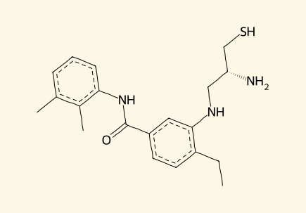 CCc1ccc(C(=O)Nc2cccc(C)c2C)cc1NC[C@@H](N)CS